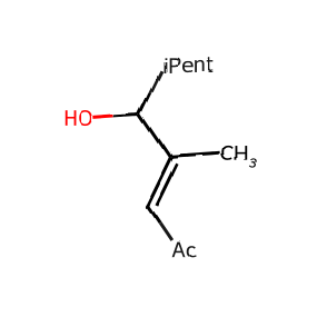 CCCC(C)C(O)/C(C)=C/C(C)=O